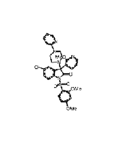 COc1ccc(S(=O)(=O)N2C(=O)C(c3cccnc3OC)(N3CCN(c4ccccn4)CC3)c3cc(Cl)ccc32)c(OC)c1